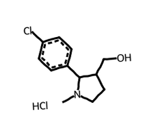 CN1CCC(CO)C1c1ccc(Cl)cc1.Cl